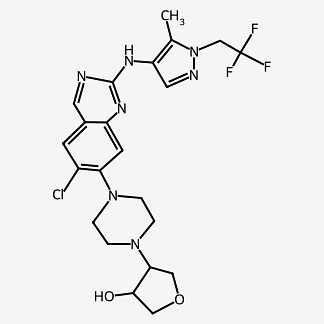 Cc1c(Nc2ncc3cc(Cl)c(N4CCN(C5COCC5O)CC4)cc3n2)cnn1CC(F)(F)F